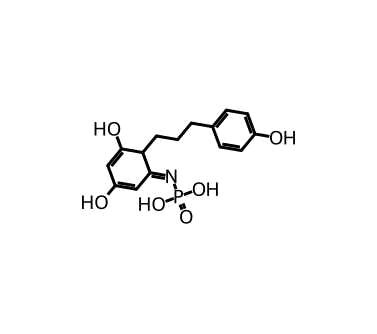 O=P(O)(O)N=C1C=C(O)C=C(O)C1CCCc1ccc(O)cc1